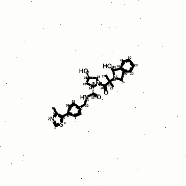 Cc1ncsc1-c1ccc(CNC(=O)[C@@H]2C[C@@H](O)CN2C(=O)C(C)(C)N2Cc3ccccc3C2O)cc1